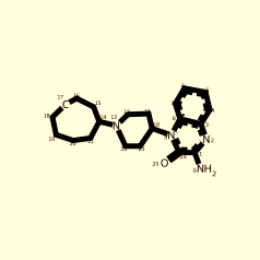 Nc1nc2ccccc2n(C2CCN(C3CCCCCCC3)CC2)c1=O